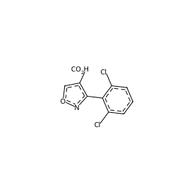 O=C(O)c1conc1-c1c(Cl)cccc1Cl